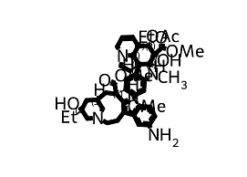 CC[C@]1(O)C[C@H]2CN(CCc3c([nH]c4ccc(N)cc34)[C@@](C(=O)OC)(c3cc4c(cc3OC)N(C)[C@H]3[C@@](O)(C(=O)OC)[C@H](OC(C)=O)[C@]5(CC)C=CCN6CC[C@]43[C@@H]65)C2)C1